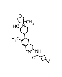 Cc1cc2cnc(NC(=O)C3CC4(CC4)C3)cc2cc1C1CCN([C@@]2(C)COC[C@H]2O)CC1